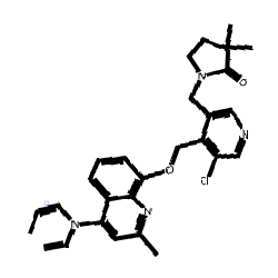 C=CN(/C=C\C)c1cc(C)nc2c(OCc3c(Cl)cncc3CN3CCC(C)(C)C3=O)cccc12